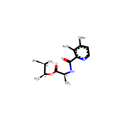 COc1ccnc(C(=O)N[C@@H](C)C(=O)O[C@@H](C)[C@H](C)C(C)C)c1OC(C)=O